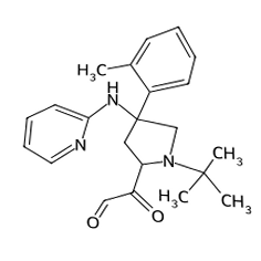 Cc1ccccc1C1(Nc2ccccn2)CC(C(=O)C=O)N(C(C)(C)C)C1